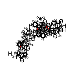 CC(C)OC(=O)[C@H](C)NP(=O)(Oc1ccccc1)O[C@H](C)[C@H]1O[C@@H](n2ccc3c(=O)[nH]c(NC(C)OC(=O)[C@H](C)N[P@@](=O)(Oc4ccccc4)O[C@H](C)[C@H]4O[C@@H](n5ccc6c(=O)[nH]c(NC(C)OC(=O)[C@H](C)N[P@](=O)(Oc7ccccc7)O[C@H](C)[C@H]7O[C@@H](n8ccc9c(=O)[nH]c(N)nc98)[C@@](F)(CF)C7O)nc65)[C@@](F)(CF)C4O)nc32)[C@@](F)(CF)C1O